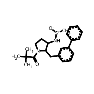 C[S+]([O-])NC1CCN(C(=O)C(C)(C)C)C1Cc1cccc(-c2ccccc2)c1